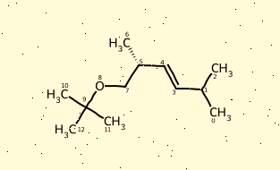 CC(C)/C=C/[C@@H](C)COC(C)(C)C